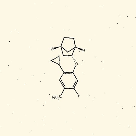 O=C(O)c1cc(C2CC2)c(O[C@@H]2C[C@@H]3CC[C@H]2C3)cc1F